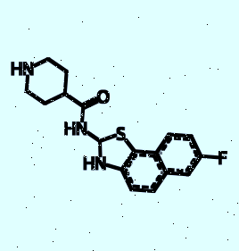 O=C(NC1Nc2ccc3cc(F)ccc3c2S1)C1CCNCC1